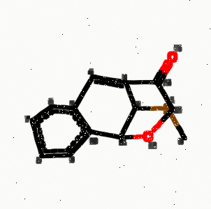 CSC1C2=Cc3ccccc3C1OCC2=O